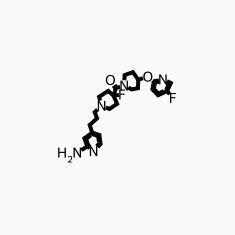 Nc1cc(CCCN2CCC(F)(C(=O)N3CCC(Oc4ccc(F)cn4)CC3)CC2)ccn1